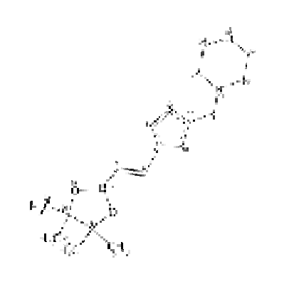 CC1(C)OB(C=Cc2csc(CN3CCOCC3)c2)OC1(C)C